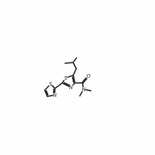 CC(C)Cc1sc(-c2nccs2)nc1C(=O)N(C)C